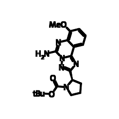 COc1cccc2c1nc(N)n1nc([C@H]3CCCN3C(=O)OC(C)(C)C)nc21